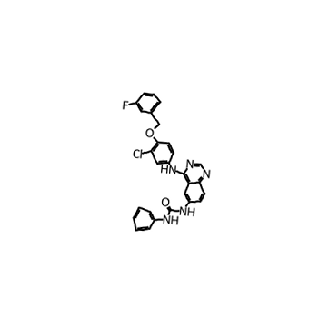 O=C(Nc1ccccc1)Nc1ccc2ncnc(Nc3ccc(OCc4cccc(F)c4)c(Cl)c3)c2c1